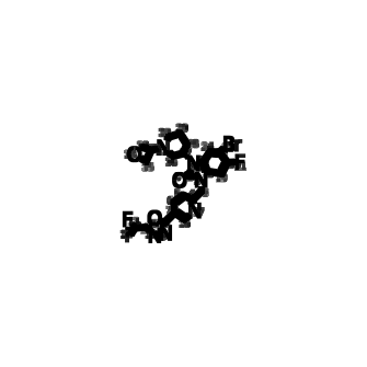 O=c1n(Cc2ccc(-c3nnc(C(F)F)o3)cn2)c2cc(F)c(Br)cc2n1[C@@H]1CCCN(C2COC2)C1